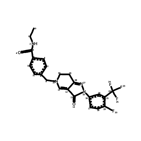 CCNC(=O)c1ccc(CN2C=C3C(=O)N(c4ccc(F)c(C(F)(F)F)c4)N=C3CC2)cc1